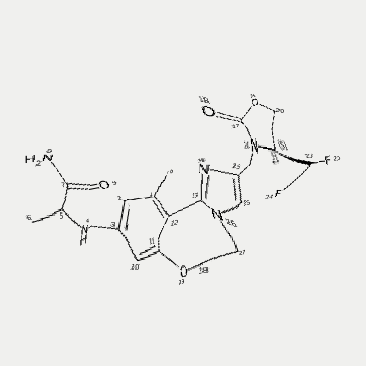 Cc1cc(NC(C)C(N)=O)cc2c1-c1nc(N3C(=O)OC[C@H]3C(F)F)cn1CCO2